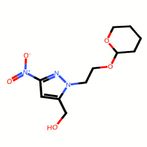 O=[N+]([O-])c1cc(CO)n(CCOC2CCCCO2)n1